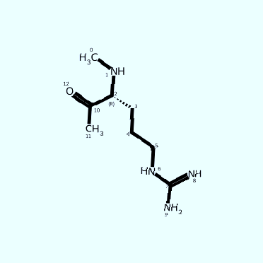 CN[C@H](CCCNC(=N)N)C(C)=O